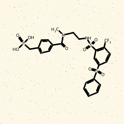 CN(CCNS(=O)(=O)c1cc(S(=O)(=O)c2ccccc2)ccc1C(F)(F)F)C(=O)c1ccc(CP(=O)(O)O)cc1